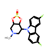 O=C(O)N1CC2OS(=O)OC2C(n2c3ccc(F)cc3c3cc(F)ccc32)C1